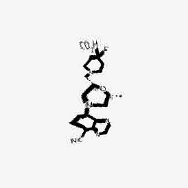 C[C@@H]1CN(c2ccc(C#N)c3nccnc23)C[C@H](CN2CCC(F)(C(=O)O)CC2)O1